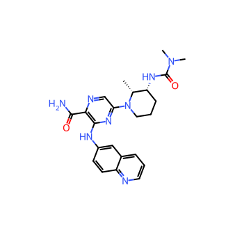 C[C@@H]1[C@H](NC(=O)N(C)C)CCCN1c1cnc(C(N)=O)c(Nc2ccc3ncccc3c2)n1